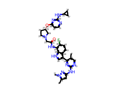 Cc1cnc(Nc2cc(C)n(C)n2)nc1-c1c[nH]c2c(NC(=O)CN3CC[C@H](Oc4ccnc(NC5CC5)n4)C3)c(F)ccc12